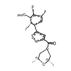 COc1c(F)c(F)cc(-c2cc(C(=O)N3C[C@@H](C)O[C@@H](C)C3)ns2)c1F